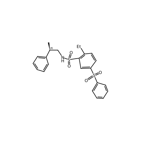 CCc1ccc(S(=O)(=O)c2ccccc2)cc1S(=O)(=O)NC[C@H](C)c1ccccc1